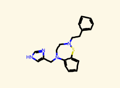 c1ccc(CCN2CCN(Cc3c[nH]cn3)c3ccccc3S2)cc1